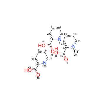 O=C(O)c1ccccn1.O=C(O)c1ccccn1.O=C(O)c1ccccn1.[Cr]